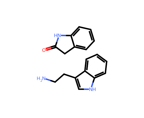 NCCc1c[nH]c2ccccc12.O=C1Cc2ccccc2N1